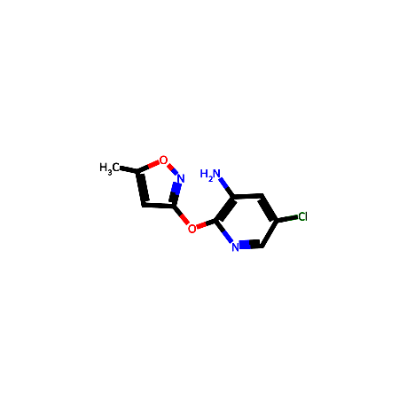 Cc1cc(Oc2ncc(Cl)cc2N)no1